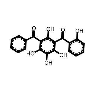 O=C(c1ccccc1)c1c(O)c(O)c(O)c(C(=O)c2ccccc2O)c1O